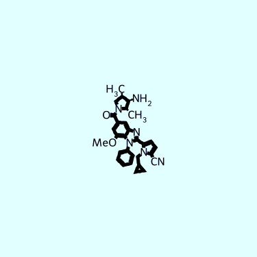 COc1cc(C(=O)N2C[C@@H](C)[C@@H](N)[C@H]2C)cc2nc(-c3ccc(C#N)n3CC3CC3)n(-c3ccccc3)c12